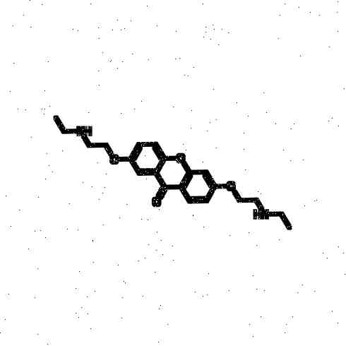 CCNCCOc1ccc2c(=O)c3cc(OCCNCC)ccc3oc2c1